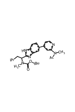 CC(=O)N(C)c1cc(-c2ccc3[nH]c(C(CC(C)C)N(C)C(=O)OC(C)(C)C)nc3c2)ccn1